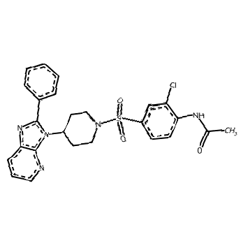 CC(=O)Nc1ccc(S(=O)(=O)N2CCC(n3c(-c4ccccc4)nc4cccnc43)CC2)cc1Cl